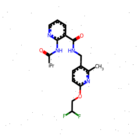 Cc1nc(OCC(F)F)ccc1CNC(=O)c1cccnc1NC(=O)C(C)C